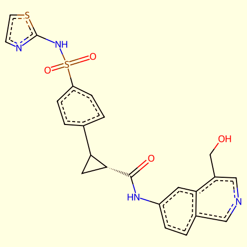 O=C(Nc1ccc2cncc(CO)c2c1)[C@@H]1CC1c1ccc(S(=O)(=O)Nc2nccs2)cc1